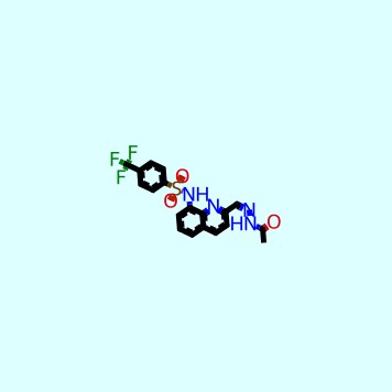 CC(=O)N/N=C\c1ccc2cccc(NS(=O)(=O)c3ccc(C(F)(F)F)cc3)c2n1